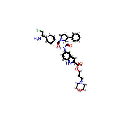 N[C@H](CF)[C@H]1CC[C@H](C(=O)N2CC[C@H](c3ccccc3)[C@H]2C(=O)Nc2ccc3[nH]c(C(=O)OCCCN4CCOCC4)cc3c2)CC1